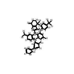 Cc1cc2c3c(c1)N(c1ccc(C(C)(C)C)cc1)c1c(sc4c1C(C)(C)CCC4C)B3c1cc(C(C)C)ccc1N2c1cc(-c2ccccc2)ccc1C